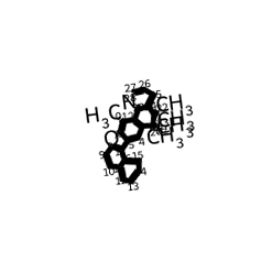 Cc1c2c(cc3c1oc1ccc4ccccc4c13)C(C)(C)C(C)(C)c1cccnc1-2